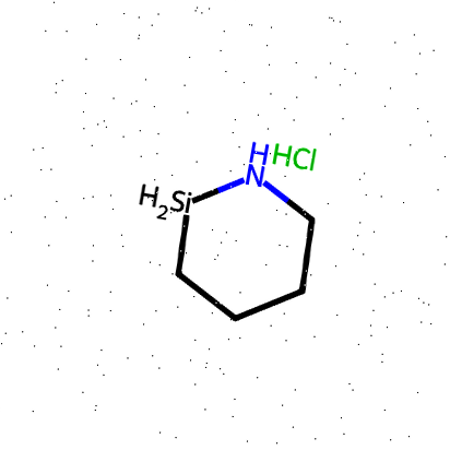 C1CC[SiH2]NC1.Cl